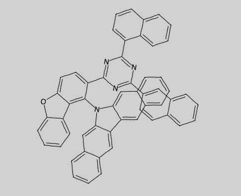 c1ccc2cc(-c3nc(-c4ccc5oc6ccccc6c5c4-n4c5cc6ccccc6cc5c5cc6ccccc6cc54)nc(-c4cccc5ccccc45)n3)ccc2c1